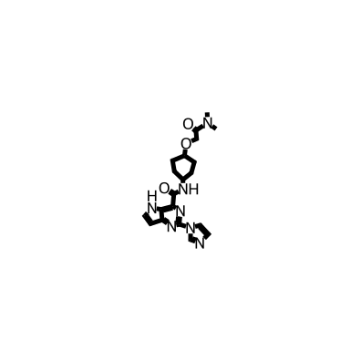 CN(C)C(=O)COC1CCC(NC(=O)c2nc(-n3ccnc3)nc3cc[nH]c23)CC1